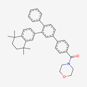 CC1(C)CCC(C)(C)c2cc(-c3cc(-c4ccc(C(=O)N5CCOCC5)cc4)ccc3-c3ccccc3)ccc21